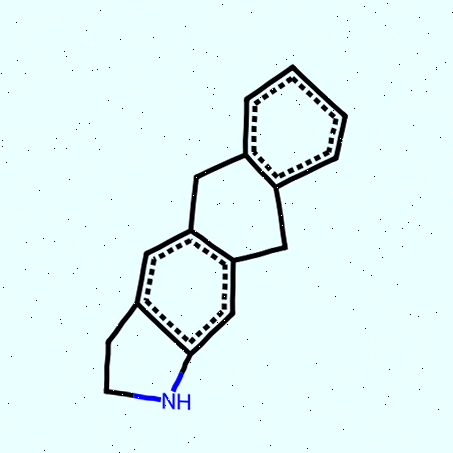 c1ccc2c(c1)Cc1cc3c(cc1C2)NCC3